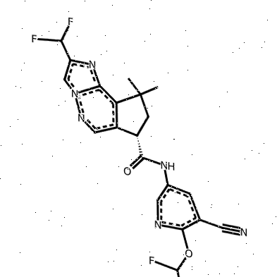 CC1(C)C[C@H](C(=O)Nc2cnc(OC(F)F)c(C#N)c2)c2cnn3cc(C(F)F)nc3c21